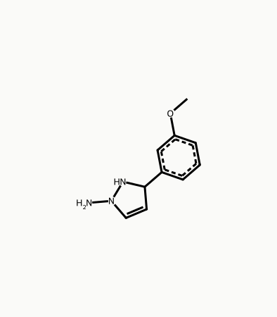 COc1cccc(C2C=CN(N)N2)c1